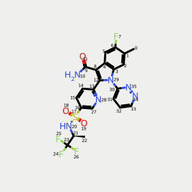 Cc1cc2c(cc1F)c(C(N)=O)c(-c1ccc(S(=O)(=O)N[C@@H](C)C(F)(F)F)cn1)n2-c1cccnn1